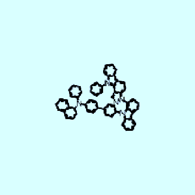 c1ccc(N(c2ccc(-c3ccc(-n4c5ccccc5c5cccc(-n6ncc7c6ccc6c8ccccc8n(-c8ccccc8)c67)c54)cc3)cc2)c2cccc3ccccc23)cc1